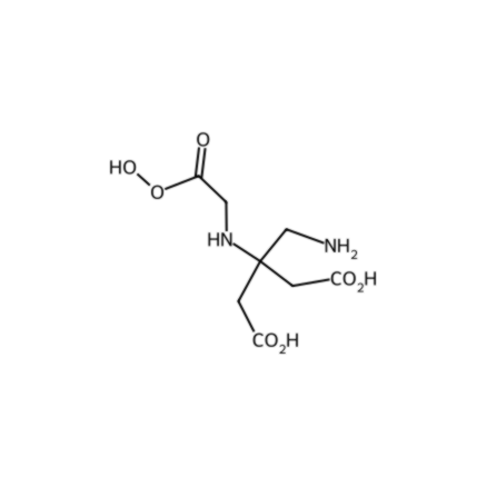 NCC(CC(=O)O)(CC(=O)O)NCC(=O)OO